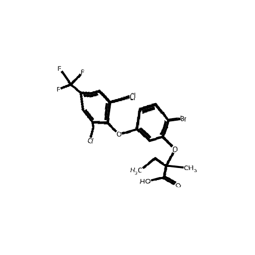 CCC(C)(Oc1cc(Oc2c(Cl)cc(C(F)(F)F)cc2Cl)ccc1Br)C(=O)O